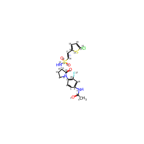 CC(=O)Nc1ccc(N2CC[C@H](NS(=O)(=O)/C=C/c3ccc(Cl)s3)C2=O)c(F)c1